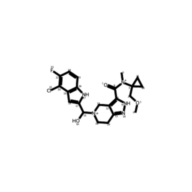 COCC1(N(C)C(=O)c2[nH]nc3c2CN(C(O)c2cc4c(Cl)c(F)ccc4[nH]2)CC3)CC1